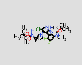 CN(COC(C)(C)C)c1cc(F)c(F)c2c1[nH]c1ncc(Cl)c(N3CC[C@@]4(C[C@H]4NC(=O)OC(C)(C)C)C3)c12